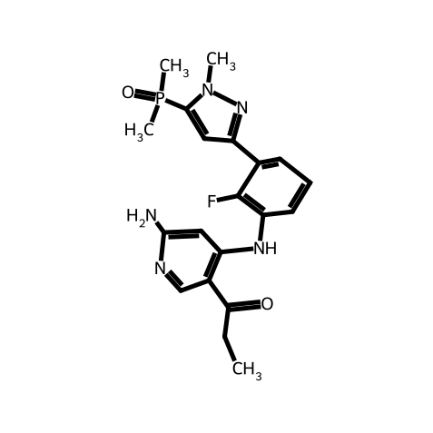 CCC(=O)c1cnc(N)cc1Nc1cccc(-c2cc(P(C)(C)=O)n(C)n2)c1F